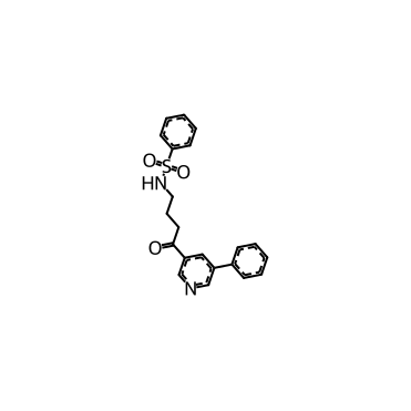 O=C(CCCNS(=O)(=O)c1ccccc1)c1cncc(-c2ccccc2)c1